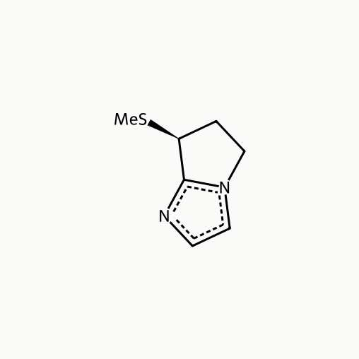 CS[C@H]1CCn2ccnc21